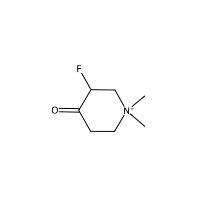 C[N+]1(C)CCC(=O)C(F)C1